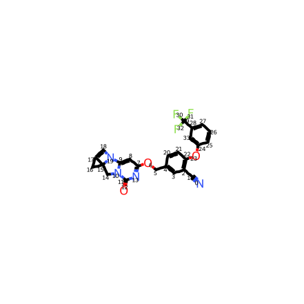 N#Cc1cc(COc2cc3n(c(=O)n2)CC24CC2=CN34)ccc1Oc1cccc(C(F)(F)F)c1